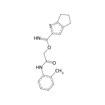 Cc1ccccc1NC(=O)COC(=N)c1cc2c(s1)CCC2